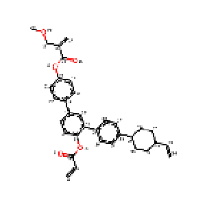 C=CC(=O)Oc1ccc(-c2ccc(OC(=O)C(=C)COC)cc2)cc1-c1ccc(C2CCC(C=C)CC2)cc1